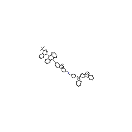 CC(C)(C)c1ccc(-c2c3ccccc3c(-c3ccc4c(c3)sc3cc(/C=C/c5ccc(N(c6ccccc6)c6ccc7oc8ccccc8c7c6)cc5)ccc34)c3ccccc23)c2ccccc12